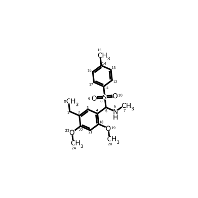 CCc1cc(C(NC)S(=O)(=O)c2ccc(C)cc2)c(OC)cc1OC